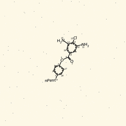 CCCCCc1ccc(OC(=O)c2cc(N)c(Cl)c(N)c2)cc1